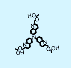 CC(O)OCc1ccc2cc(N(c3ccc4nc(COC(C)O)ccc4c3)c3ccc4nc(COC(C)O)ccc4c3)ccc2n1